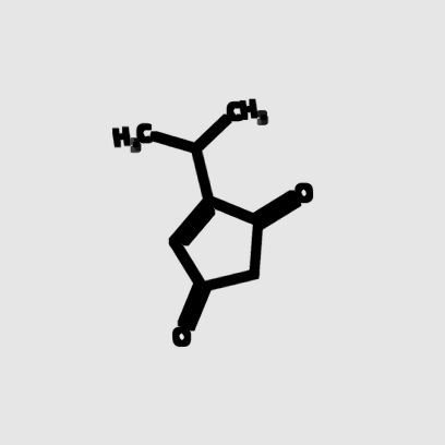 CC(C)C1=CC(=O)CC1=O